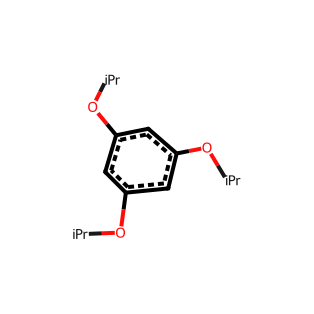 CC(C)Oc1cc(OC(C)C)cc(OC(C)C)c1